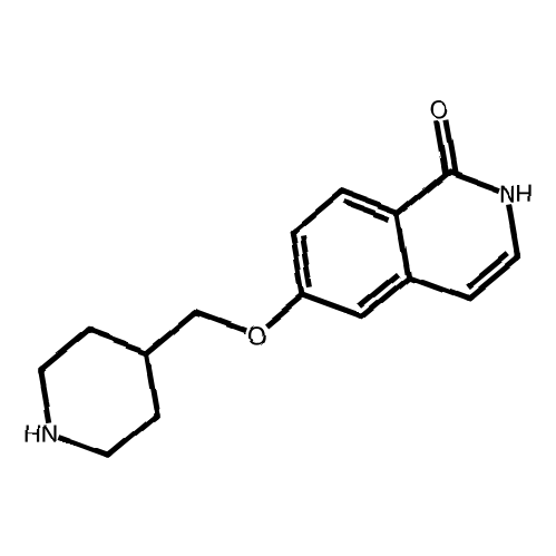 O=c1[nH]ccc2cc(OCC3CCNCC3)ccc12